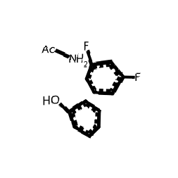 CC(N)=O.Fc1cccc(F)c1.Oc1ccccc1